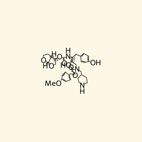 COc1ccc(S(=O)(=O)N(CC2CCNCC2)C[C@@H](O)[C@H](Cc2ccc(O)cc2)NC(=O)O[C@H]2CO[C@H]3OCC[C@H]32)cc1